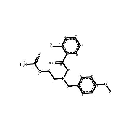 COc1ccc(CN(CCOC(N)=O)CC(=O)c2ccccc2Br)cc1